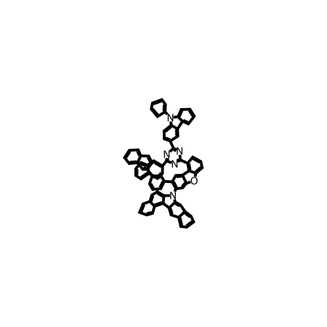 c1ccc(-n2c3ccccc3c3cc(-c4nc(-c5ccc6ccccc6c5)nc(-c5cccc6oc7cc(-n8c9cc%10ccccc%10cc9c9c%10ccccc%10ccc98)c(-c8cccc(-c9ccc%10ccccc%10c9)c8)cc7c56)n4)ccc32)cc1